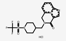 Cl.O=C1c2cnc3cccc(n23)CN1CC1CCN(S(=O)(=O)C(F)(F)F)CC1